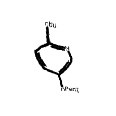 CCCCCc1ccc(CCCC)nc1